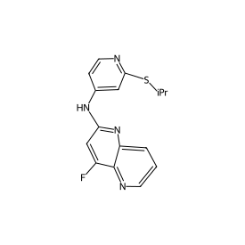 CC(C)Sc1cc(Nc2cc(F)c3ncccc3n2)ccn1